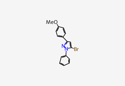 COc1ccc(-c2cc(Br)n(-c3ccccc3)n2)cc1